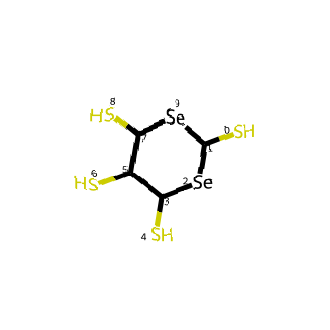 SC1[Se]C(S)C(S)C(S)[Se]1